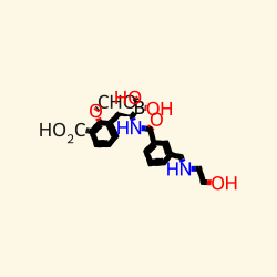 O=COc1c(C[C@H](NC(=O)c2cccc(CNCCO)c2)B(O)O)cccc1C(=O)O